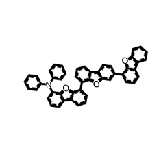 c1ccc(N(c2ccccc2)c2cccc3c2oc2c(-c4cccc5c4oc4cc(-c6cccc7c6oc6ccccc67)ccc45)cccc23)cc1